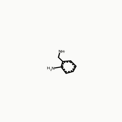 [NH]Cc1ccccc1N